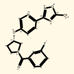 O=C(c1cccc(F)c1)N1CC[C@H](Oc2ccc(-c3noc(C(F)(F)F)n3)nc2)C1